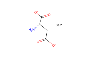 N[C@@H](CC(=O)[O-])C(=O)[O-].[Ba+2]